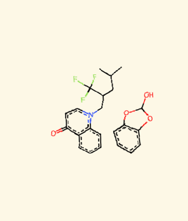 CC(C)CC(Cn1ccc(=O)c2ccccc21)C(F)(F)F.OC1Oc2ccccc2O1